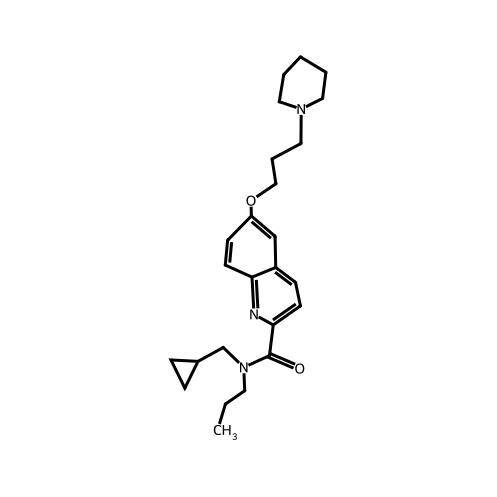 CCCN(CC1CC1)C(=O)c1ccc2cc(OCCCN3CCCCC3)ccc2n1